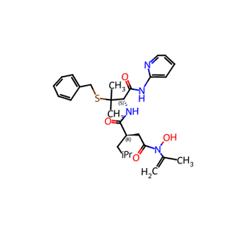 C=C(C)N(O)C(=O)C[C@@H](CC(C)C)C(=O)N[C@@H](C(=O)Nc1ccccn1)C(C)(C)SCc1ccccc1